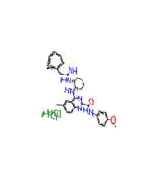 COc1ccc(NC(=O)c2nc(N[C@H]3CCCC[C@H]3NC(=N)Cc3ccccc3)c3cc(C)ccc3n2)cc1.Cl.Cl